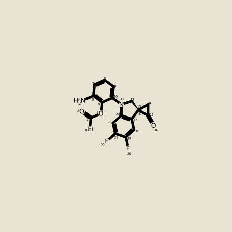 CCC(=O)Oc1c(N)cccc1N1C[C@]2(CC2=O)c2cc(F)c(F)cc21